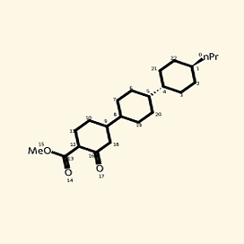 CCC[C@H]1CC[C@H](C2CCC(C3CCC(C(=O)OC)C(=O)C3)CC2)CC1